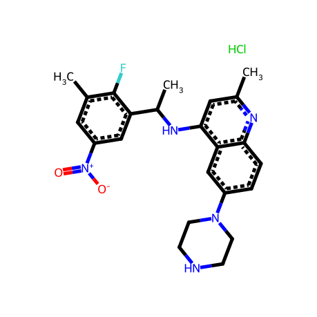 Cc1cc(NC(C)c2cc([N+](=O)[O-])cc(C)c2F)c2cc(N3CCNCC3)ccc2n1.Cl